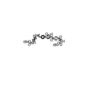 CC(Cc1ccc(-n2ccc(NC(=O)N3CCN(C(=O)C(C)(C)NC(=O)OC(C)(C)C)CC3)nc2=O)cc1)NC1CC2(CC(NC(=O)OC(C)(C)C)C2)C1